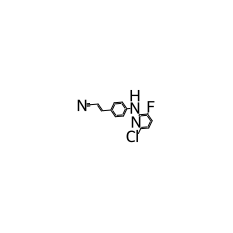 N#CC=Cc1ccc(Nc2nc(Cl)ccc2F)cc1